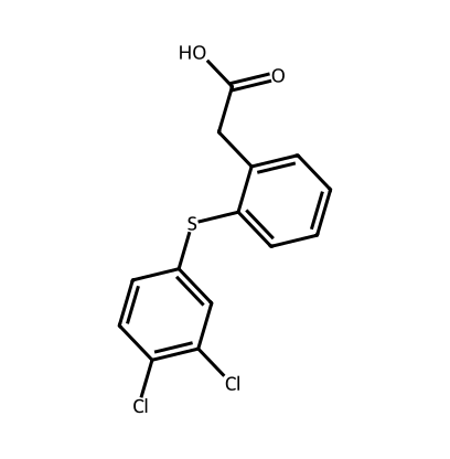 O=C(O)Cc1ccccc1Sc1ccc(Cl)c(Cl)c1